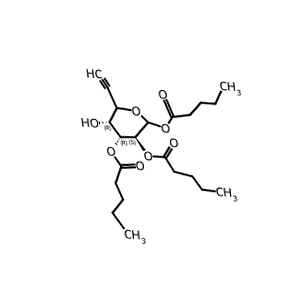 C#CC1OC(OC(=O)CCCC)[C@@H](OC(=O)CCCC)[C@H](OC(=O)CCCC)[C@@H]1O